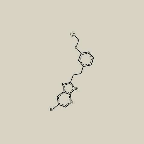 FC(F)(F)COc1cccc(CCc2nc3cc(Br)cnc3[nH]2)c1